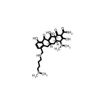 CN(C)CCCCNCc1ccc(O)c2c1C[C@H]1C[C@H]3C(N(C)C)C(O)=C(C(N)=O)C(=O)[C@@]3(O)C(O)=C1C2=O